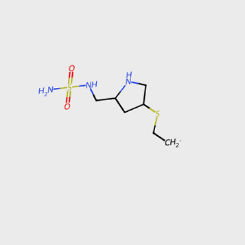 [CH2]CSC1CNC(CNS(N)(=O)=O)C1